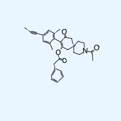 CC#Cc1cc(C)c(C2=C(OC(=O)Cc3ccccc3)CC3(CCN(C(C)=O)CC3)CC2=O)c(C)c1